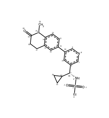 CCS(=O)(=O)N[C@@H](c1cncc(-c2ccc3c(c2)CCC(=O)N3C)c1)C1CC1